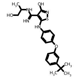 CC(CO)NC(=N)c1c(O)nsc1Nc1ccc(Oc2cccc(C(C)(C)C)c2)cc1